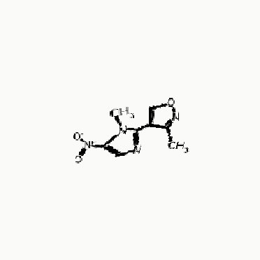 Cc1nocc1-c1ncc([N+](=O)[O-])n1C